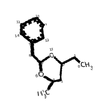 CCC1CC(C)OC(Cc2ccccc2)O1